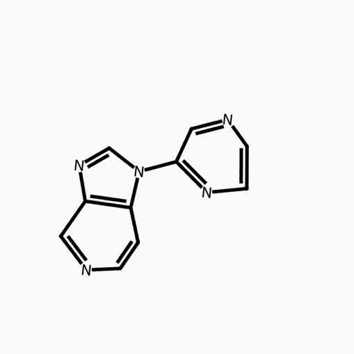 c1cnc(-n2cnc3cnccc32)cn1